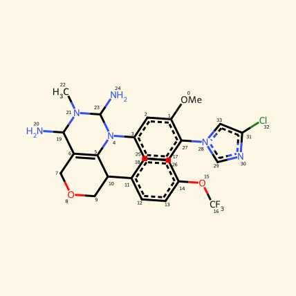 COc1cc(N2C3=C(COCC3c3ccc(OC(F)(F)F)cc3)C(N)N(C)C2N)ccc1-n1cnc(Cl)c1